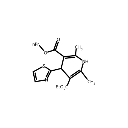 CCCOC(=O)C1=C(C)NC(C)=C(C(=O)OCC)C1c1nccs1